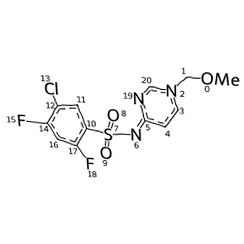 COCn1ccc(=NS(=O)(=O)c2cc(Cl)c(F)cc2F)nc1